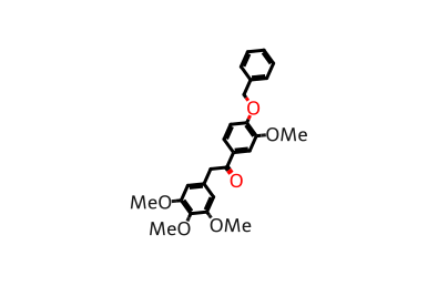 COc1cc(C(=O)Cc2cc(OC)c(OC)c(OC)c2)ccc1OCc1ccccc1